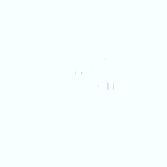 O=[PH](O)OC1=CCCC1